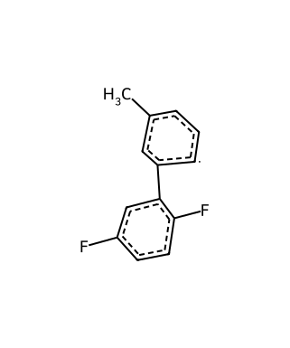 Cc1cc[c]c(-c2cc(F)ccc2F)c1